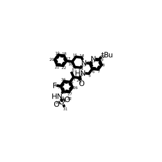 CC(C(=O)NCc1ccc(C(C)(C)C)nc1N1CCC(c2ccccc2)CC1)c1ccc(NS(C)(=O)=O)c(F)c1